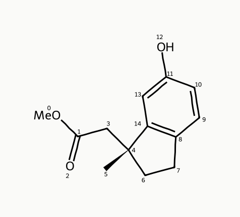 COC(=O)C[C@@]1(C)CCc2ccc(O)cc21